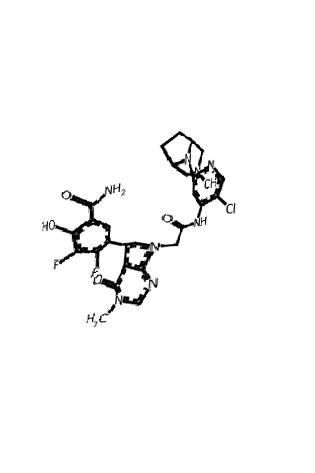 CN1CC2CCC(C1)N2c1cc(NC(=O)Cn2cc(-c3cc(C(N)=O)c(O)c(F)c3F)c3c(=O)n(C)cnc32)c(Cl)cn1